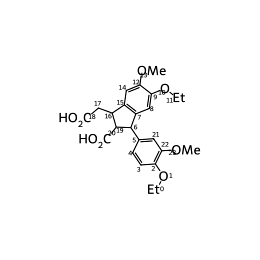 CCOc1ccc(C2c3cc(OCC)c(OC)cc3C(CC(=O)O)C2C(=O)O)cc1OC